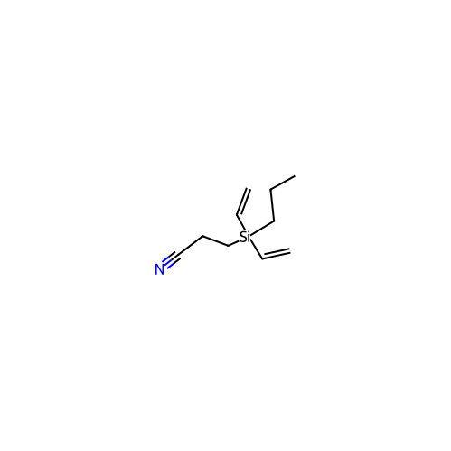 C=C[Si](C=C)(CCC)CCC#N